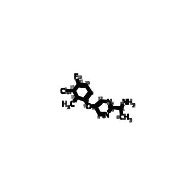 CC(N)c1ncc(OC2=CC=C(F)C(Cl)C2C)cn1